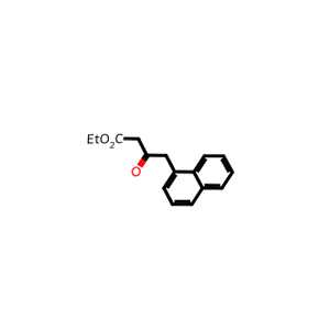 CCOC(=O)CC(=O)Cc1cccc2ccccc12